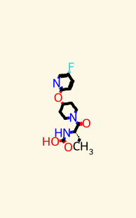 CC[C@H](NC(=O)O)C(=O)N1CCC(Oc2ccc(F)cn2)CC1